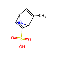 CC1=C[C]2C=C(S(=O)(=O)O)[C]1N2